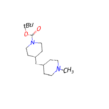 CN1CCC(CC2CCN(C(=O)OC(C)(C)C)CC2)CC1